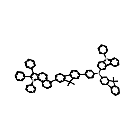 CC1(C)c2cc(-c3ccc(N(c4ccc5c(c4)C(C)(C)c4ccccc4-5)c4ccc5c(c4)c4ccccc4n5-c4ccccc4)cc3)ccc2-c2ccc(-c3cccc4c3ccc3c(-c5ccccc5)c(-c5ccccc5)n(-c5ccccc5)c34)cc21